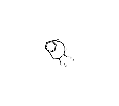 CC1Cc2ccc(cc2)OCON1C